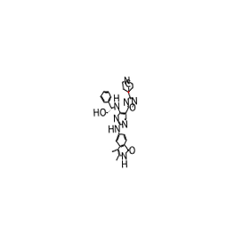 Cc1[nH]c(=O)c2ccc(Nc3ncc(-c4nc(C56CCN(CC5)CC6)no4)c(N[C@H](CO)c4ccccc4)n3)cc2c1C